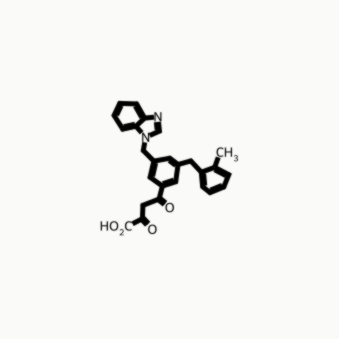 Cc1ccccc1Cc1cc(Cn2cnc3ccccc32)cc(C(=O)CC(=O)C(=O)O)c1